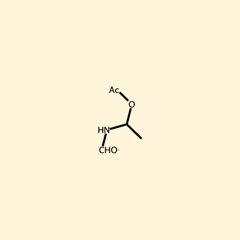 CC(=O)OC(C)N[C]=O